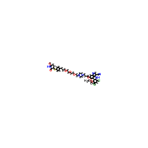 COc1cc(Nc2c(C#N)cnc3cc(OCCCN4CCN(CCOCCOCCOCCCc5ccc(SC6CCC(=O)NC6=O)cc5)CC4)c(OC)cc23)c(Cl)cc1Cl